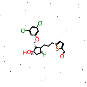 O=Cc1ccc(CCCC2[C@H](F)C[C@@H](O)[C@@H]2COc2cc(Cl)cc(Cl)c2)s1